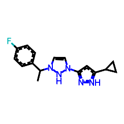 CC(c1ccc(F)cc1)N1C=CN(c2cc(C3CC3)[nH]n2)N1